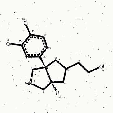 OCCC1C[C@@H]2CNC[C@]2(c2ccc(Cl)c(Cl)c2)C1